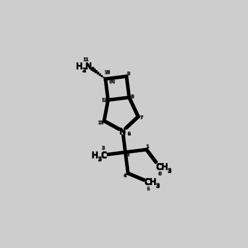 CCC(C)(CC)N1CC2C[C@@H](N)C2C1